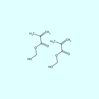 C=C(C)C(=O)OCO.C=C(C)C(=O)OCO